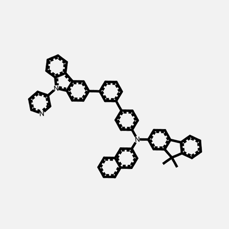 CC1(C)c2ccccc2-c2ccc(N(c3ccc(-c4cccc(-c5ccc6c(c5)c5ccccc5n6-c5cccnc5)c4)cc3)c3ccc4ccccc4c3)cc21